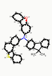 CC1(C)c2ccccc2-c2cc(N(c3ccc4oc5ccccc5c4c3)c3ccc4ccc5sc6ccccc6c5c4c3)ccc21